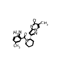 Cc1ccc(N)c(C(=O)N2CCCC[C@H]2c2cc3nc(Cl)c(C)cn3n2)c1